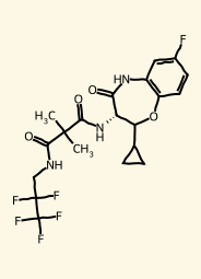 CC(C)(C(=O)NCC(F)(F)C(F)(F)F)C(=O)N[C@@H]1C(=O)Nc2cc(F)ccc2OC1C1CC1